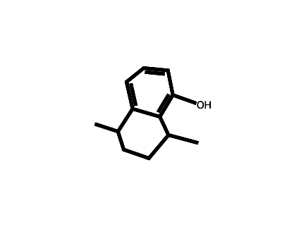 CC1CCC(C)c2c(O)cccc21